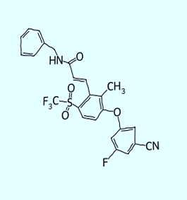 Cc1c(Oc2cc(F)cc(C#N)c2)ccc(S(=O)(=O)C(F)(F)F)c1/C=C/C(=O)NCc1ccccc1